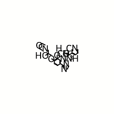 COc1c(OCC(O)CN2CCOCC2)ccc2c1N=C(NC(=O)c1cccnc1C)N1CCN=C21